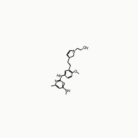 CNc1cc(C)nc(Nc2ccc(OC)c(CCC3C=CN(CCO)C3)c2)n1